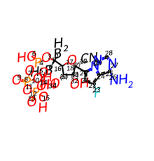 BC(B)(OP(=O)(O)OP(=O)(O)OP(=O)(O)O)C1O[C@@](C#N)(c2cc(F)c3c(N)ncnn23)[C@H](O)[C@@H]1O